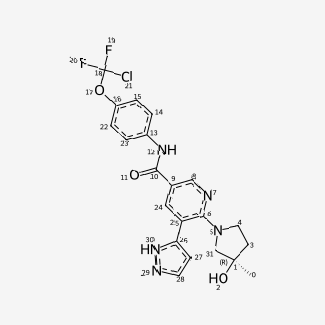 C[C@@]1(O)CCN(c2ncc(C(=O)Nc3ccc(OC(F)(F)Cl)cc3)cc2-c2ccn[nH]2)C1